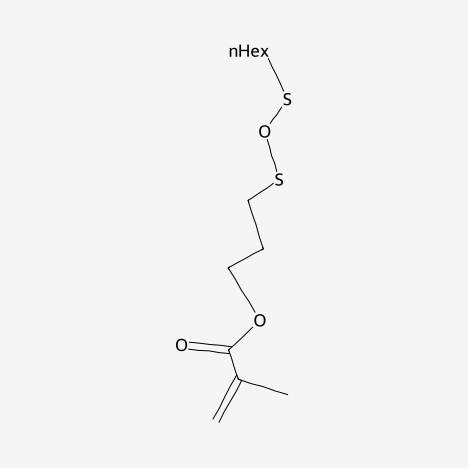 C=C(C)C(=O)OCCCSOSCCCCCC